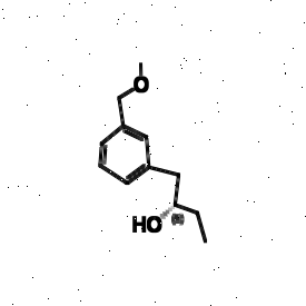 CC[C@H](O)Cc1cccc(COC)c1